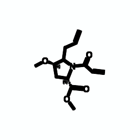 C=CCC1[C@H](OC)C[C@@H](C(=O)OC)N1C(=O)C=C